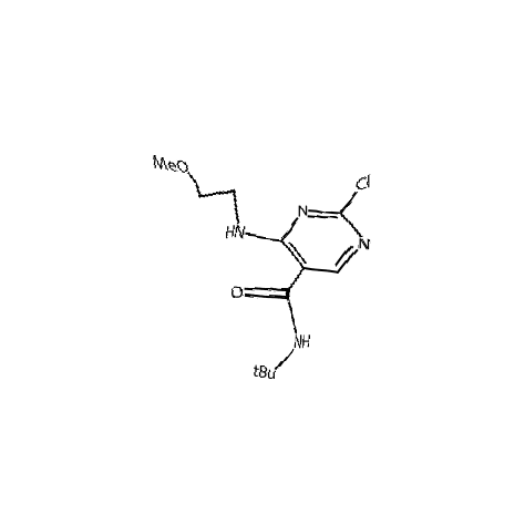 COCCNc1nc(Cl)ncc1C(=O)NC(C)(C)C